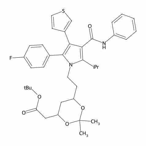 CC(C)c1c(C(=O)Nc2ccccc2)c(-c2ccsc2)c(-c2ccc(F)cc2)n1CCC1CC(CC(=O)OC(C)(C)C)OC(C)(C)O1